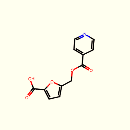 O=C(OCc1ccc(C(=O)O)o1)c1ccncc1